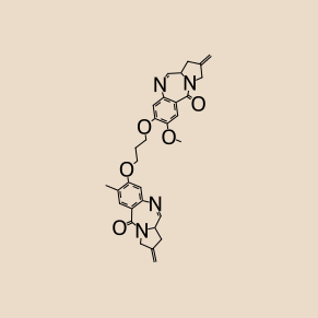 C=C1CC2C=Nc3cc(OCCCOc4cc5c(cc4OC)C(=O)N4CC(=C)CC4C=N5)c(C)cc3C(=O)N2C1